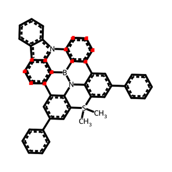 CS1(C)c2cc(-c3ccccc3)cc(-c3ccccc3)c2N(B2c3ccccc3-n3c4ccccc4c4cccc2c43)c2c(-c3ccccc3)cc(-c3ccccc3)cc21